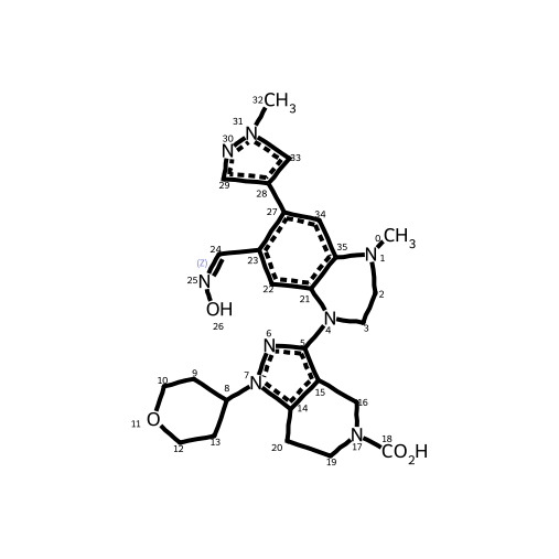 CN1CCN(c2nn(C3CCOCC3)c3c2CN(C(=O)O)CC3)c2cc(/C=N\O)c(-c3cnn(C)c3)cc21